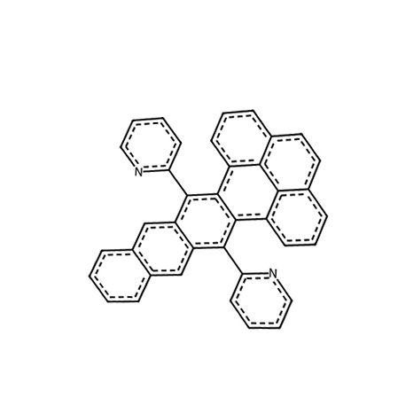 c1ccc(-c2c3cc4ccccc4cc3c(-c3ccccn3)c3c4cccc5ccc6cccc(c23)c6c54)nc1